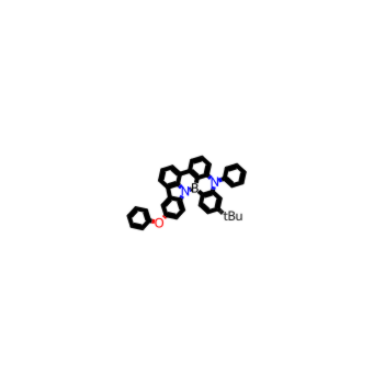 CC(C)(C)c1ccc2c(c1)N(c1ccccc1)c1cccc3c1B2n1c2ccc(Oc4ccccc4)cc2c2cccc-3c21